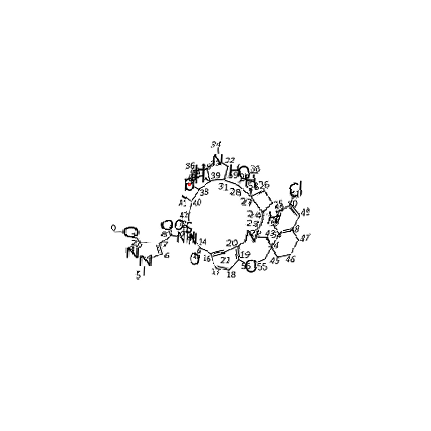 COc1nn(C)cc1C(=O)N[S@@]1(=O)=NC(=O)c2ccc3c(c2)N(C[C@@H]2CC[C@H]2[C@@H](OC)[C@@H]2CN(C)[C@H]4CO[C@@H]([C@@H]24)[C@H](C)C1)C[C@@]1(CCCc2cc(Cl)ccc21)CO3